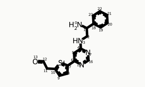 NC(CNc1cc(-c2ccc(CC=O)s2)ncn1)c1ccccc1